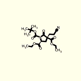 CCOC(=O)[C@@H]1C[C@@](CCC#N)(C(=O)OCC)C(=O)N1C(=O)OC(C)(C)C